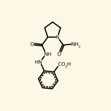 NC(=O)N1CCCC1C(=O)NNc1ccccc1C(=O)O